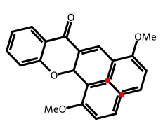 COc1ccccc1/C=C1/C(=O)c2ccccc2OC1c1ccccc1OC